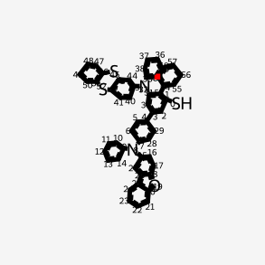 Sc1cc(-c2ccc(N(c3ccccc3)c3ccc4oc5ccccc5c4c3)cc2)cc(N(c2ccccc2)c2ccc3c(c2)Sc2ccccc2S3)c1-c1ccccc1